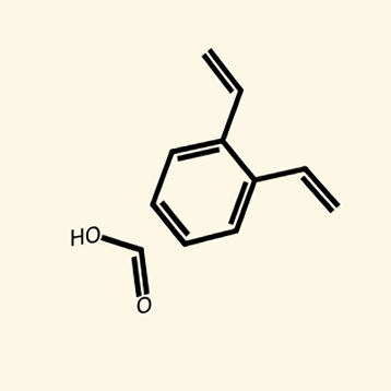 C=Cc1ccccc1C=C.O=CO